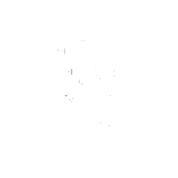 [2H]C([2H])([2H])OS(=O)(=O)c1ccc(C)cc1.[Se]